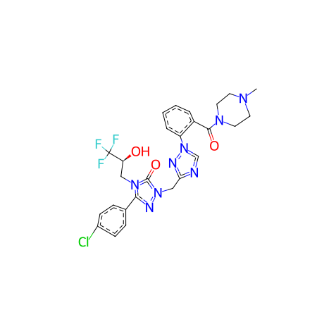 CN1CCN(C(=O)c2ccccc2-n2cnc(Cn3nc(-c4ccc(Cl)cc4)n(C[C@H](O)C(F)(F)F)c3=O)n2)CC1